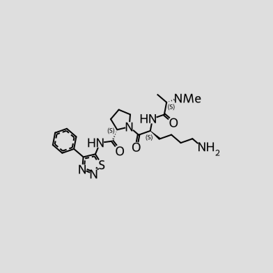 CN[C@@H](C)C(=O)N[C@@H](CCCCN)C(=O)N1CCC[C@H]1C(=O)Nc1snnc1-c1ccccc1